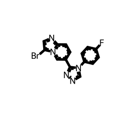 Fc1ccc(-n2cnnc2-c2ccc3ncc(Br)n3c2)cc1